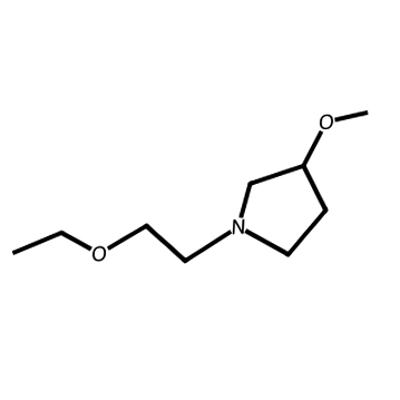 CCOCCN1CCC(OC)C1